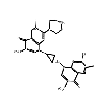 CC(C)(C)n1cc(C(=O)O)c(=O)c2cc(F)c(Cl)nc21.O=C(O)c1cn(C2CC2)c2cc(N3CCNCC3)c(F)cc2c1=O